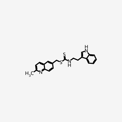 Cc1ccc2cc(CSC(=S)NCCc3c[nH]c4ccccc34)ccc2n1